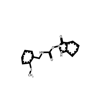 CSc1ccccc1CNC(=O)On1[nH]c2ccccc2c1=O